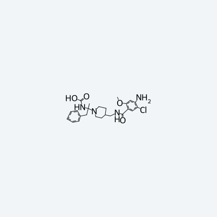 COc1cc(N)c(Cl)cc1C(=O)NCC1CCN(C(C)(Cc2ccccc2)NC(=O)O)CC1